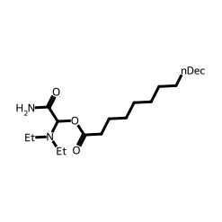 CCCCCCCCCCCCCCCCCC(=O)OC(C(N)=O)N(CC)CC